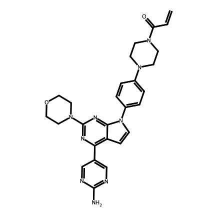 C=CC(=O)N1CCN(c2ccc(-n3ccc4c(-c5cnc(N)nc5)nc(N5CCOCC5)nc43)cc2)CC1